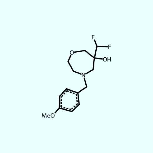 COc1ccc(CN2CCOCC(O)(C(F)F)C2)cc1